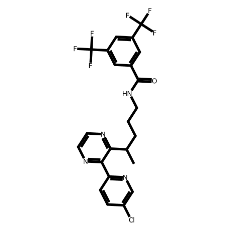 CC(CCCNC(=O)c1cc(C(F)(F)F)cc(C(F)(F)F)c1)c1nccnc1-c1ccc(Cl)cn1